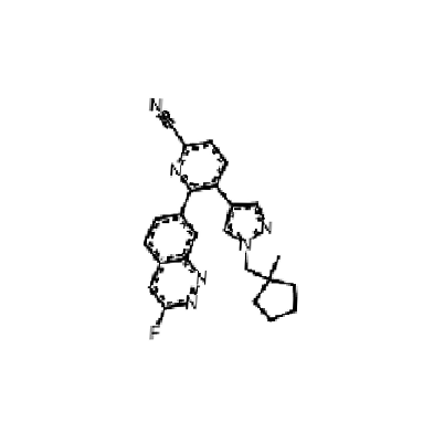 CC1(Cn2cc(-c3ccc(C#N)nc3-c3ccc4cc(F)nnc4c3)cn2)CCCC1